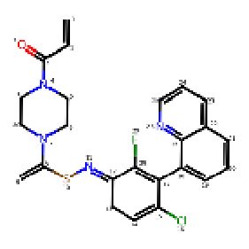 C=CC(=O)N1CCN(C(=C)S/N=C2\CC=C(Cl)C(c3cccc4cccnc34)=C2F)CC1